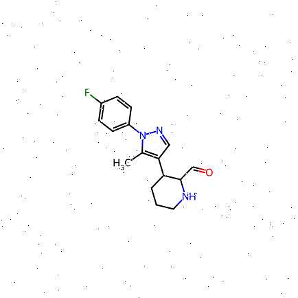 Cc1c(C2CCCNC2C=O)cnn1-c1ccc(F)cc1